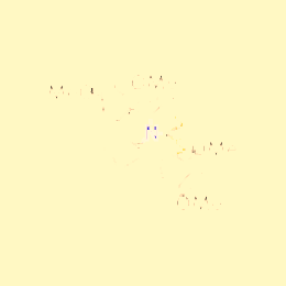 COc1cc(OC)cc(-c2cccc(-c3cc(OC)cc(OC)c3)c2-n2c(C)c(C)sc2=S)c1